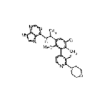 COc1c(C(C)Nc2ncnc3[nH]cnc23)cc(Cl)c(C)c1-c1ccnc(N2CCOCC2)c1F